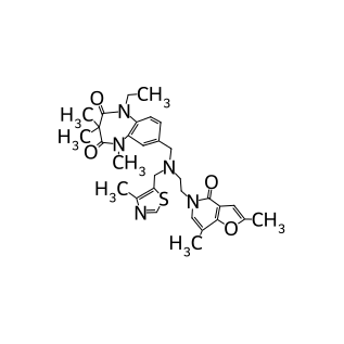 CCN1C(=O)C(C)(C)C(=O)N(C)c2cc(CN(CCn3cc(C)c4oc(C)cc4c3=O)Cc3scnc3C)ccc21